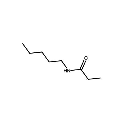 C[CH]C(=O)NCCCCC